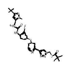 Cn1nc(C(C)(C)C)cc1NC(=O)Nc1ccc(Oc2ccnc(-c3cn(COC(=O)C(C)(C)C)nn3)c2)cc1F